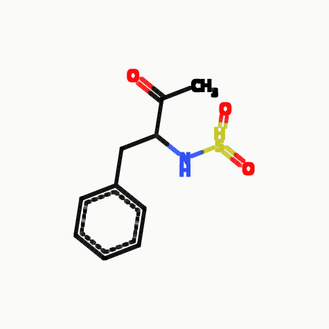 CC(=O)C(Cc1ccccc1)N[SH](=O)=O